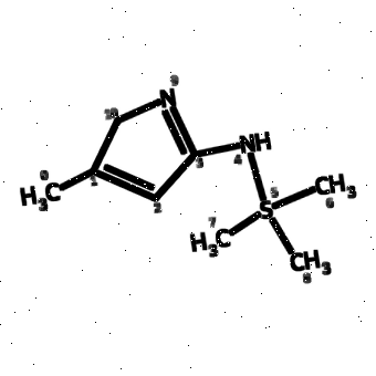 CC1=CC(NS(C)(C)C)=NC1